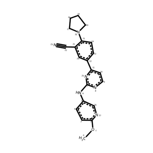 COc1ccc(Nc2nccc(-c3ccc(N4CCCC4)c(C#N)c3)n2)cn1